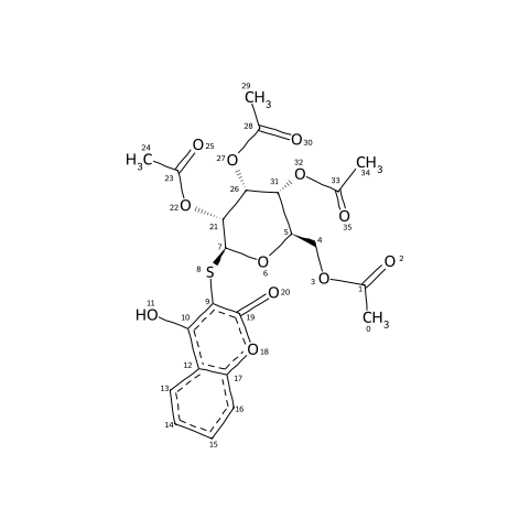 CC(=O)OC[C@H]1O[C@@H](Sc2c(O)c3ccccc3oc2=O)[C@H](OC(C)=O)[C@H](OC(C)=O)[C@@H]1OC(C)=O